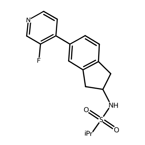 CC(C)S(=O)(=O)NC1Cc2ccc(-c3ccncc3F)cc2C1